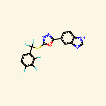 Fc1ccc(C(F)(F)Sc2nnc(-c3ccc4[nH]cnc4c3)o2)c(F)c1F